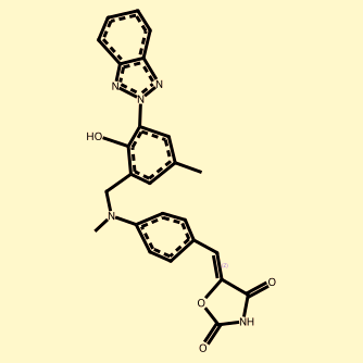 Cc1cc(CN(C)c2ccc(/C=C3\OC(=O)NC3=O)cc2)c(O)c(-n2nc3ccccc3n2)c1